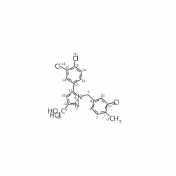 Cc1ccc(Cn2nc(C(=O)O)cc2-c2ccc(Cl)c(Cl)c2)cc1Cl.Cl